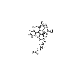 FC(F)CCN1CC(Cc2ccc(C3=C(c4ncc(Cl)cc4C(F)(F)F)CCCc4ccccc43)cc2)C1